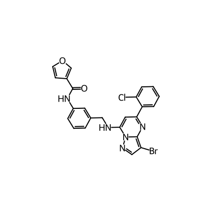 O=C(Nc1cccc(CNc2cc(-c3ccccc3Cl)nc3c(Br)cnn23)c1)c1ccoc1